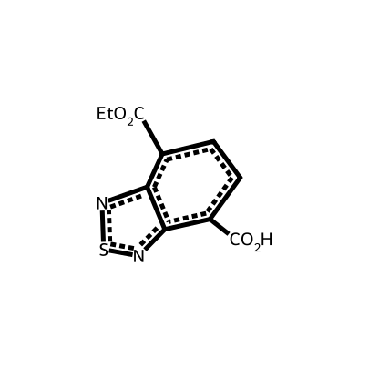 CCOC(=O)c1ccc(C(=O)O)c2nsnc12